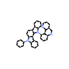 c1ccc(-n2c3ccccc3c3c2ccc2c4ccccc4n(-c4cccc5ncc6cccnc6c45)c23)cc1